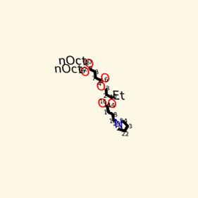 [CH2]CC(CCOC(=O)CCC(OCCCCCCCC)OCCCCCCCC)OC(=O)CCCN1CCCC1